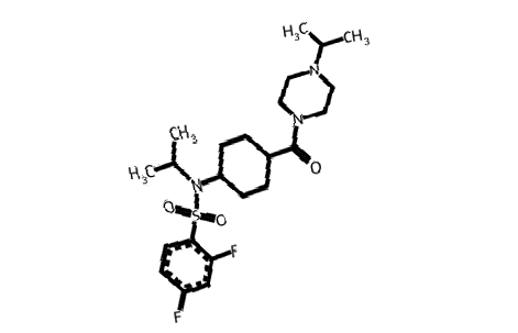 CC(C)N1CCN(C(=O)C2CCC(N(C(C)C)S(=O)(=O)c3ccc(F)cc3F)CC2)CC1